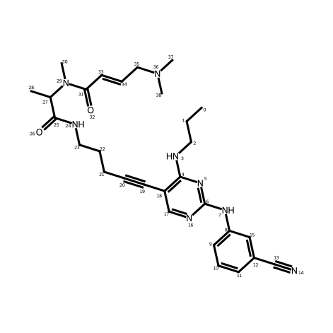 CCCNc1nc(Nc2cccc(C#N)c2)ncc1C#CCCCNC(=O)C(C)N(C)C(=O)C=CCN(C)C